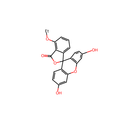 CCOc1cccc2c1C(=O)OC21c2ccc(O)cc2Oc2cc(O)ccc21